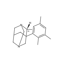 Cc1cc(C)c(C)c(C23CC4CN(CN(C4)[C@@H]2C)C3)c1